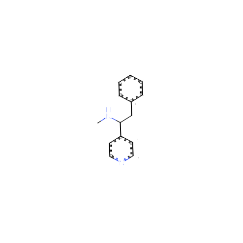 CNC(Cc1ccccc1)c1ccncc1